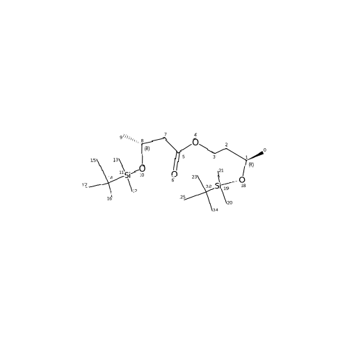 C[C@H](CCOC(=O)C[C@@H](C)O[Si](C)(C)C(C)(C)C)O[Si](C)(C)C(C)(C)C